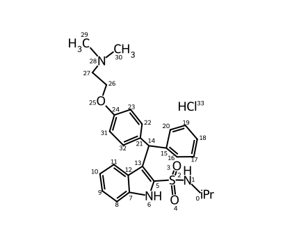 CC(C)NS(=O)(=O)c1[nH]c2ccccc2c1C(c1ccccc1)c1ccc(OCCN(C)C)cc1.Cl